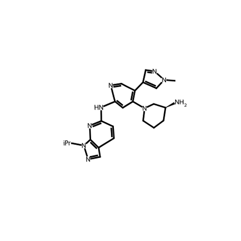 CC(C)n1ncc2ccc(Nc3cc(N4CCC[C@H](N)C4)c(-c4cnn(C)c4)cn3)nc21